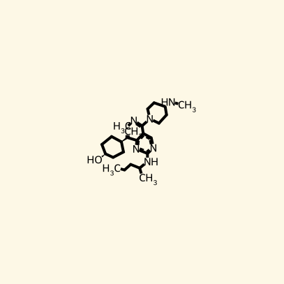 C=C(c1nc(NC(C)CCC)ncc1/C(=N\C)N1CCC(NC)CC1)[C@H]1CC[C@H](O)CC1